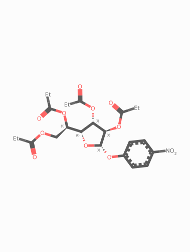 CCC(=O)OC[C@@H](OC(=O)CC)[C@H]1O[C@@H](Oc2ccc([N+](=O)[O-])cc2)[C@H](OC(=O)CC)[C@H]1OC(=O)CC